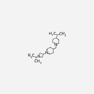 CC(C)C1CCN(CC2CCN(C3CN(C(C)C)C3)CC2)CC1